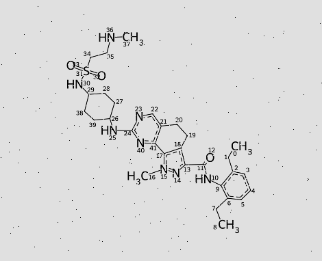 CCc1cccc(CC)c1NC(=O)c1nn(C)c2c1CCc1cnc(NC3CCC(NS(=O)(=O)CCNC)CC3)nc1-2